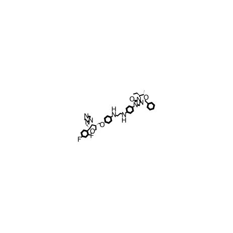 CC[C@@H]([C@H](C)OCc1ccccc1)n1ncn(-c2ccc(NCCNc3ccc(OC[C@@H]4CO[C@@](Cn5cncn5)(c5ccc(F)cc5F)C4)cc3)cc2)c1=O